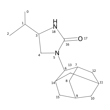 CC(C)C1CN(C2C3CC4CC(C3)CC2C4)C(=O)N1